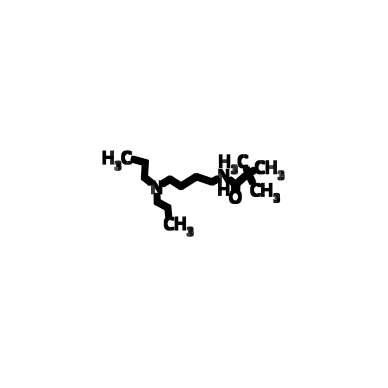 CCCN(CCC)CCCCNC(=O)C(C)(C)C